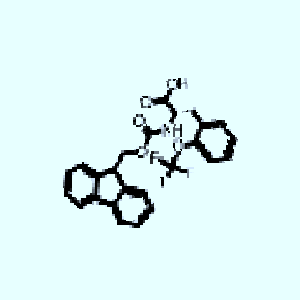 O=C(N[C@@H](Cc1ccccc1OC(F)(F)F)C(=O)O)OCC1c2ccccc2-c2ccccc21